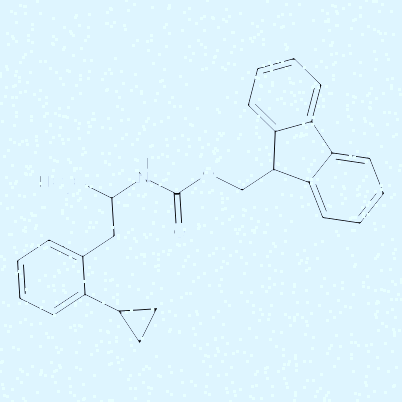 O=C(NC(Cc1ccccc1C1CC1)C(=O)O)OCC1c2ccccc2-c2ccccc21